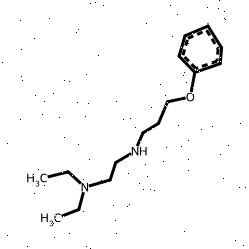 CCN(CC)CCNCCCOc1cc[c]cc1